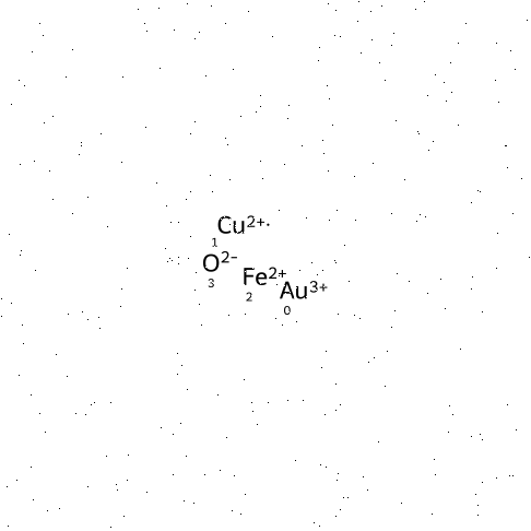 [Au+3].[Cu+2].[Fe+2].[O-2]